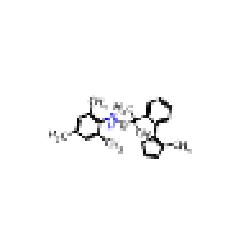 CC1=C(c2ccccc2[C](C)(C)[Ti][NH]c2c(C)cc(C)cc2C)CC=C1